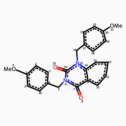 COc1ccc(Cn2c(=O)c3ccccc3n(Cc3ccc(OC)cc3)c2=O)cc1